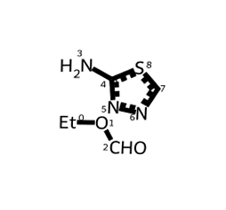 CCOC=O.Nc1nncs1